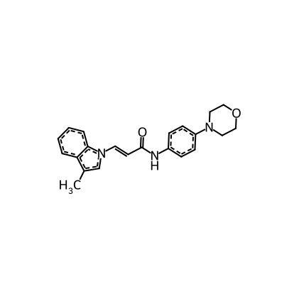 Cc1cn(C=CC(=O)Nc2ccc(N3CCOCC3)cc2)c2ccccc12